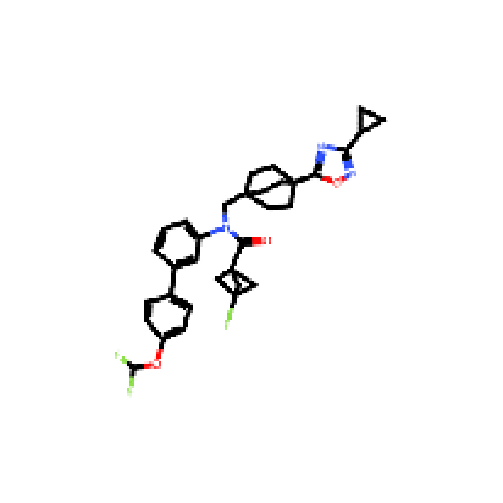 O=C(N(CC12CCC(c3nc(C4CC4)no3)(CC1)CC2)c1cccc(-c2ccc(OC(F)F)cc2)c1)C12CC(F)(C1)C2